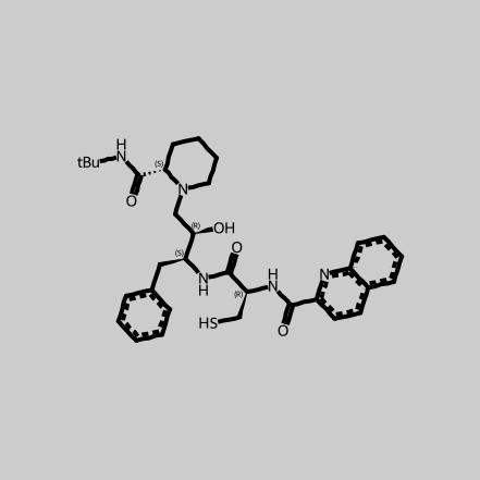 CC(C)(C)NC(=O)[C@@H]1CCCCN1C[C@@H](O)[C@H](Cc1ccccc1)NC(=O)[C@H](CS)NC(=O)c1ccc2ccccc2n1